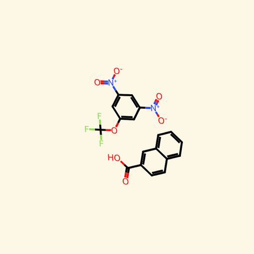 O=C(O)c1ccc2ccccc2c1.O=[N+]([O-])c1cc(OC(F)(F)F)cc([N+](=O)[O-])c1